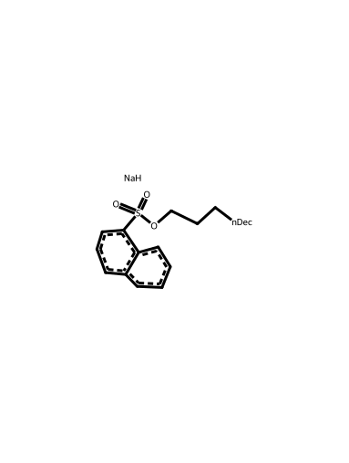 CCCCCCCCCCCCCOS(=O)(=O)c1cccc2ccccc12.[NaH]